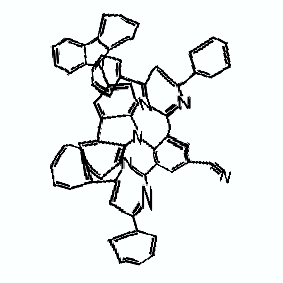 N#Cc1cc(-c2nc(-c3ccccc3)cc(-c3ccccc3)n2)c(-n2c3ccccc3c3cc(-n4c5ccccc5c5ccccc54)ccc32)c(-c2nc(-c3ccccc3)cc(-c3ccccc3)n2)c1